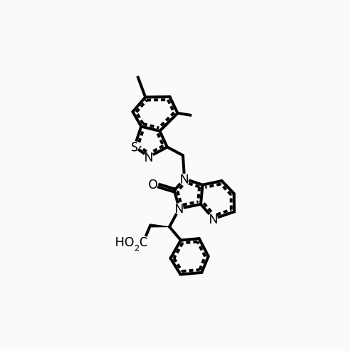 Cc1cc(C)c2c(Cn3c(=O)n([C@H](CC(=O)O)c4ccccc4)c4ncccc43)nsc2c1